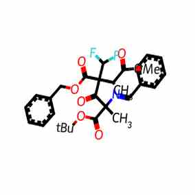 COC(=O)C(C)C(C(=O)OCc1ccccc1)(C(=O)C(C)(N=Cc1ccccc1)C(=O)OC(C)(C)C)C(F)F